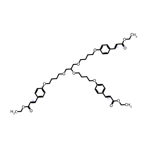 CCOC(=O)/C=C/c1ccc(OCCCCOCC(COCCCCOc2ccc(/C=C/C(=O)OCC)cc2)OCCCCOc2ccc(/C=C/C(=O)OCC)cc2)cc1